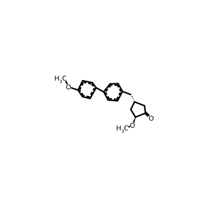 COc1ccc(-c2ccc(C[C@@H]3CC(=O)[C@@H](OC)C3)cc2)cc1